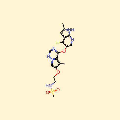 Cc1cc2c(F)c(Oc3ncnn4cc(OCCNS(C)(=O)=O)c(C)c34)cnc2[nH]1